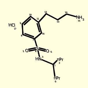 CCCC(CCC)NS(=O)(=O)c1cccc(CCCN)c1.Cl